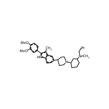 COc1ccc(-c2[nH]c3ccc(C4CCN(C5CCCC(N(C)CC(C)C)C5)CC4)cc3c2C)cc1OC